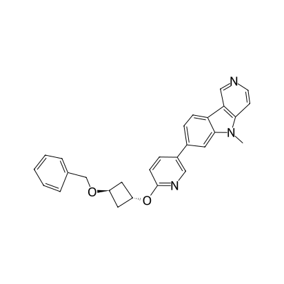 Cn1c2ccncc2c2ccc(-c3ccc(O[C@H]4C[C@H](OCc5ccccc5)C4)nc3)cc21